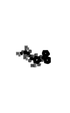 CC(C)(ON)C(=O)NNC(=O)c1cc(Br)c2c(c1Cl)OC(c1ccccc1)(c1ccccc1)O2.Cl